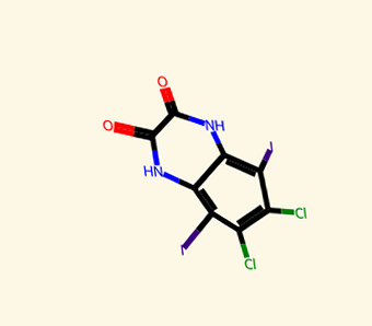 O=c1[nH]c2c(I)c(Cl)c(Cl)c(I)c2[nH]c1=O